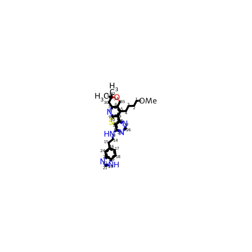 COCCCCc1c2c(nc3sc4c(NCCc5ccc6[nH]cnc6c5)ncnc4c13)CC(C)(C)OC2